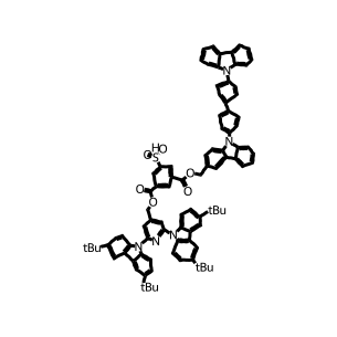 CC(C)(C)c1ccc2c(c1)c1cc(C(C)(C)C)ccc1n2-c1cc(COC(=O)c2cc(C(=O)OCc3ccc4c(c3)c3ccccc3n4-c3ccc(-c4ccc(-n5c6ccccc6c6ccccc65)cc4)cc3)cc([SH](=O)=O)c2)cc(-n2c3ccc(C(C)(C)C)cc3c3cc(C(C)(C)C)ccc32)n1